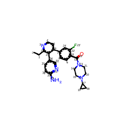 CCc1nccc(-c2ccc(C(=O)N3CCN(C4CC4)CC3)c(F)c2)c1-c1ccc(N)nc1